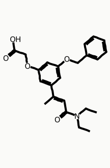 CCN(CC)C(=O)C=C(C)c1cc(OCC(=O)O)cc(OCc2ccccc2)c1